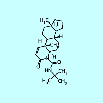 CC(C)(C)NC(=O)N1C(=O)C=C[C@]2(C)[C@H]3CC[C@]4(C)CCC[C@H]4[C@@H]3CC[C@@H]12